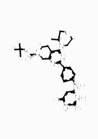 CC1COCCN1c1nc(-c2ccc(Nc3cc(=O)n(C)c(=O)[nH]3)cc2)nc2c1CCN(C(=O)OC(C)(C)C)C2